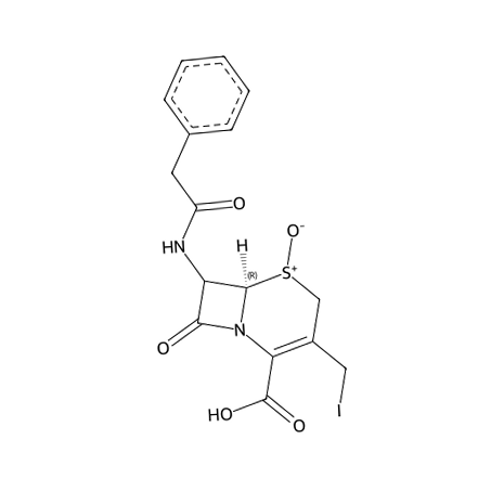 O=C(Cc1ccccc1)NC1C(=O)N2C(C(=O)O)=C(CI)C[S+]([O-])[C@H]12